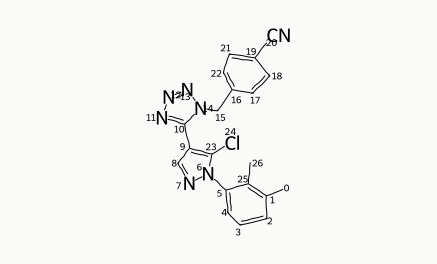 Cc1cccc(-n2ncc(-c3nnnn3Cc3ccc(C#N)cc3)c2Cl)c1C